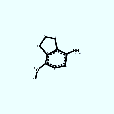 COc1ccc(N)c2c1CCC2